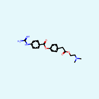 CN(C)CCOC(=O)Cc1ccc(OC(=O)c2ccc(NC(=N)N)cc2)cc1